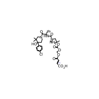 CC(C)[C@@H](NC(=O)N(N)CC(C)(C)OC(=O)OCOC(=O)/C=C/C(=O)O)C(=O)N1CC[C@](O)(c2ccc(Cl)cc2)C(C)(C)C1